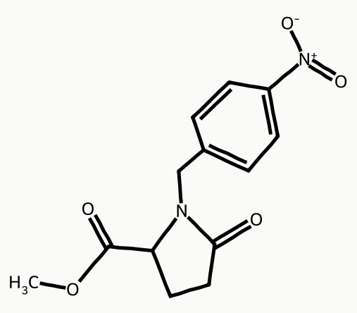 COC(=O)C1CCC(=O)N1Cc1ccc([N+](=O)[O-])cc1